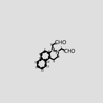 O=CCN1CCc2c(ccc3ccccc23)N1CC=O